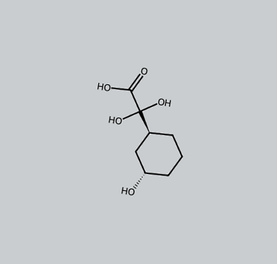 O=C(O)C(O)(O)[C@H]1CCC[C@H](O)C1